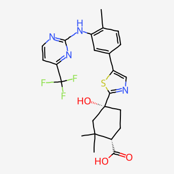 Cc1ccc(-c2cnc([C@@]3(O)CC[C@H](C(=O)O)C(C)(C)C3)s2)cc1Nc1nccc(C(F)(F)F)n1